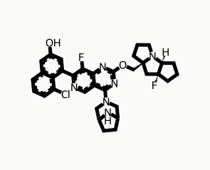 Oc1cc(-c2ncc3c(N4CC5CCC(C4)N5)nc(OC[C@@]45CCCN4[C@H]4CCC[C@@]4(F)C5)nc3c2F)c2c(Cl)cccc2c1